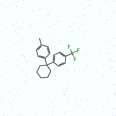 Cc1ccc(C2(c3ccc(C(F)(F)F)cc3)CCCCC2)cc1